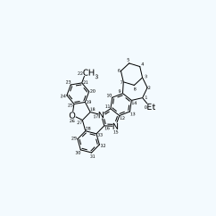 CCC1CC2CCCC(C2)c2cc3c(cc21)nc1n3C2c3cc(C)ccc3OC2c2ccccc2-1